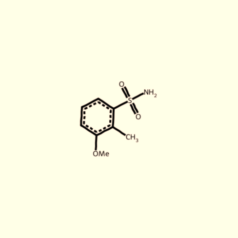 COc1cccc(S(N)(=O)=O)c1C